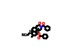 CC1=C[C@@H](OC(=O)C2CCCCC2)[C@H]2[C@@H](CCC3=CC(=O)N(C(=O)C4CCCCC4)CC[C@@]32C)[C@@H]1CCC#N